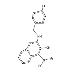 CCCN(CC)c1c(C#N)c(NCc2ccc(Cl)cc2)nc2ccccc12